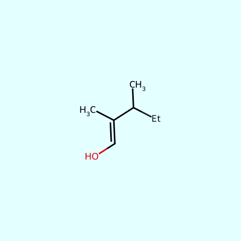 CCC(C)C(C)=CO